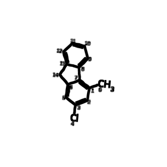 Cc1cc(Cl)cc2c1-c1ccccc1C2